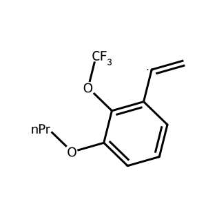 C=[C]c1cccc(OCCC)c1OC(F)(F)F